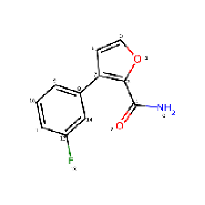 NC(=O)c1occc1-c1cccc(F)c1